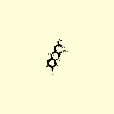 COC(=O)C(=CC(=O)C(C)(C)C)Nc1ccc(F)cc1